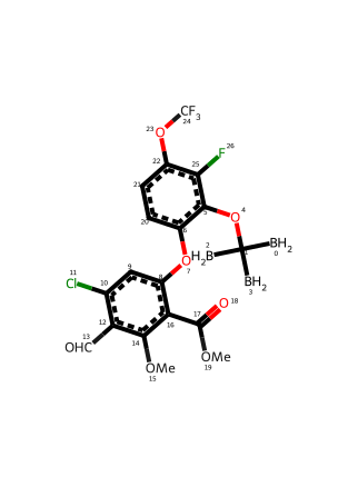 BC(B)(B)Oc1c(Oc2cc(Cl)c(C=O)c(OC)c2C(=O)OC)ccc(OC(F)(F)F)c1F